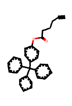 C#CCCCC(=O)Oc1ccc(C(c2ccccc2)(c2ccccc2)c2ccccc2)cc1